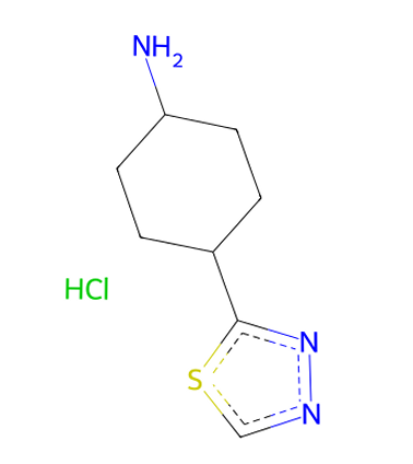 Cl.NC1CCC(c2nncs2)CC1